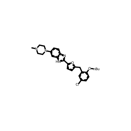 CCCCOc1ccc(Cl)cc1Cc1ccc(-c2nc3ccc(N4CCN(C)CC4)cc3[nH]2)o1